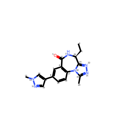 CC[C@@H]1NC(=O)c2cc(-c3cnn(C)c3)ccc2-n2c(C)nnc21